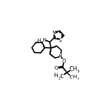 CC(C)(C)C(=O)ON1CCC(C2CCCCC2)(C(N)c2nccs2)CC1